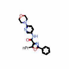 CCCc1oc(-c2ccccc2)nc1C(=O)Nc1ccc(N2CCOCC2)nc1